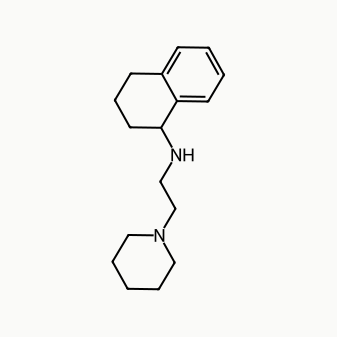 c1ccc2c(c1)CCCC2NCCN1CCCCC1